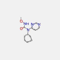 CONC(=O)N(c1ccccc1)c1ccncn1